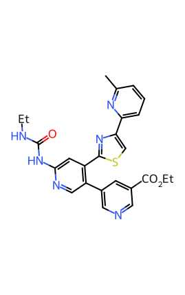 CCNC(=O)Nc1cc(-c2nc(-c3cccc(C)n3)cs2)c(-c2cncc(C(=O)OCC)c2)cn1